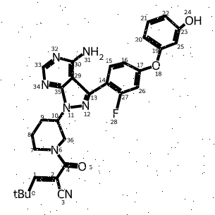 CC(C)(C)C=C(C#N)C(=O)N1CCCC(n2nc(-c3ccc(Oc4cccc(O)c4)cc3F)c3c(N)ncnc32)C1